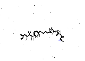 C=CC(=C)CNC(=O)Nc1ccc(CCCCc2nnc(NC(=C)CC(=C)/C=C\C)s2)nn1